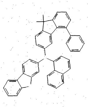 CC1(C)c2ccc(N(c3ccc4c(c3)oc3ccccc34)c3cccc4ccccc34)cc2-c2c(-c3ccccc3)cccc21